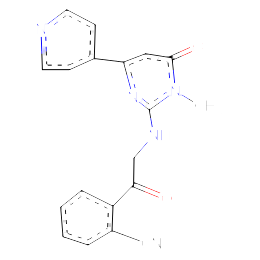 Cn1c(NCC(=O)c2ccccc2C#N)nc(-c2ccncc2)cc1=O